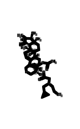 CCCN(CC(=O)O[C@H]1[C@H](OC(C)=O)C[C@@]23COC[C@@]1(C)[C@@H]2CC[C@H]1C3=CC[C@@]2(C)[C@H](C(=O)O)[C@@](C)([C@H](C)C(C)C)CC[C@]12C)CC1CC1